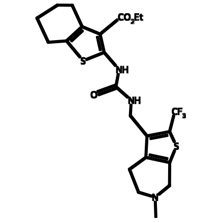 CCOC(=O)c1c(NC(=O)NCc2c(C(F)(F)F)sc3c2CCN(C)C3)sc2c1CCCC2